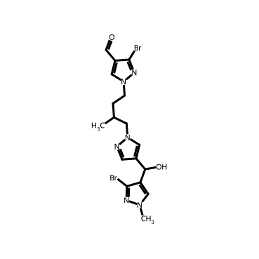 CC(CCn1cc(C=O)c(Br)n1)Cn1cc(C(O)c2cn(C)nc2Br)cn1